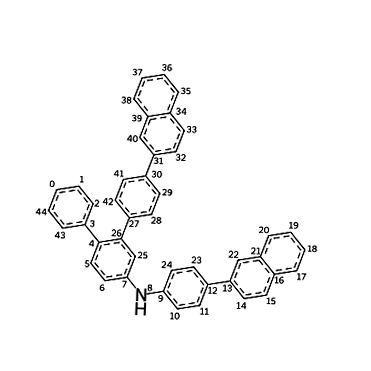 c1ccc(-c2ccc(Nc3ccc(-c4ccc5ccccc5c4)cc3)cc2-c2ccc(-c3ccc4ccccc4c3)cc2)cc1